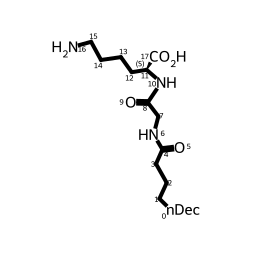 CCCCCCCCCCCCCC(=O)NCC(=O)N[C@@H](CCCCN)C(=O)O